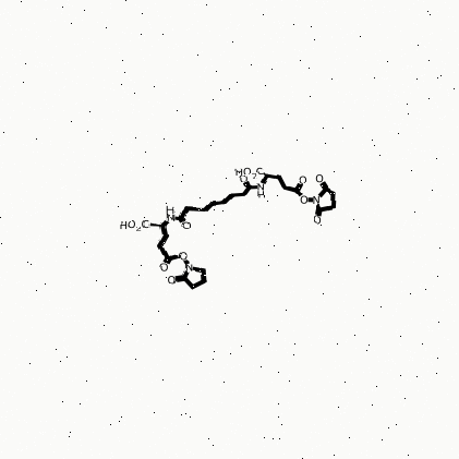 O=C(CCCCCCC(=O)N[C@@H](CCC(=O)ON1C(=O)CCC1=O)C(=O)O)N[C@@H](CCC(=O)ON1CCCC1=O)C(=O)O